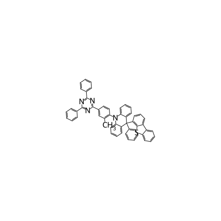 Cc1cc(-c2nc(-c3ccccc3)nc(-c3ccccc3)n2)ccc1N1c2ccccc2C(c2ccccc2)(c2cccc3c2sc2ccccc23)c2ccccc21